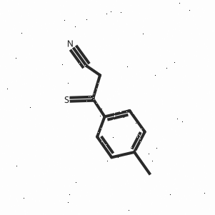 Cc1ccc(C(=S)CC#N)cc1